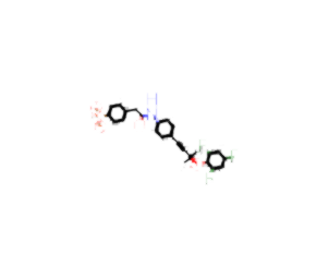 CCS(=O)(=O)c1ccc(CC(=O)Nc2ccc(C#CC(C)(C)Oc3c(F)cc(F)cc3F)cc2)cc1